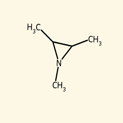 CC1C(C)N1C